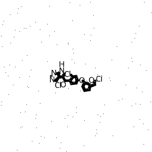 O=C(c1ccc(Oc2cccc3cc(Cl)oc23)cc1Cl)c1c[nH]c2ncnc(Cl)c12